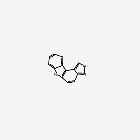 c1ccc2c(c1)[nH]c1ccc3n[nH]cc3c12